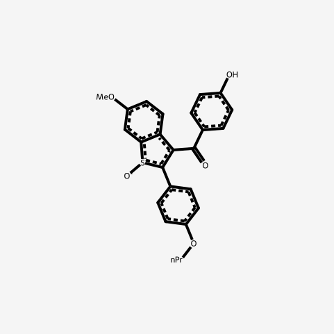 CCCOc1ccc(-c2c(C(=O)c3ccc(O)cc3)c3ccc(OC)cc3[s+]2[O-])cc1